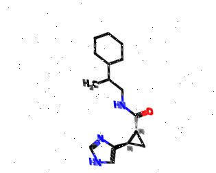 CC(CNC(=O)[C@@H]1C[C@H]1c1c[nH]cn1)C1CCCCC1